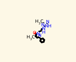 CCN=C(NC#N)NCCCn1nc(-c2ccccc2)cc(C)c1=O